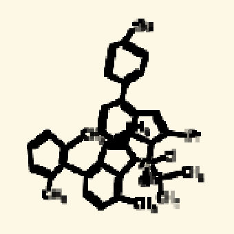 CC1=Cc2c(-c3c(C)cccc3C)ccc(C)c2[CH]1[Zr]([Cl])([Cl])([CH]1C(C(C)C)=Cc2c(-c3ccc(C(C)(C)C)cc3)cccc21)[SiH](C)C